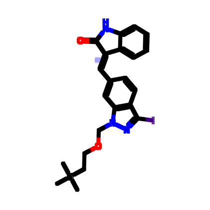 C[Si](C)(C)CCOCn1nc(I)c2ccc(/C=C3/C(=O)Nc4ccccc43)cc21